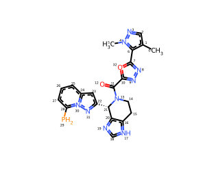 Cc1cnn(C)c1-c1nnc(C(=O)N2CCc3[nH]cnc3[C@@H]2c2cc3cccc(P)n3n2)o1